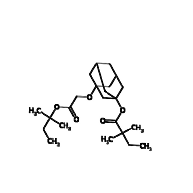 CCC(C)(C)OC(=O)COC12CC3CC(C1)CC(OC(=O)C(C)(C)CC)(C3)C2